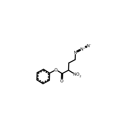 [N-]=[N+]=NCCC(C(=O)Oc1ccccc1)[N+](=O)[O-]